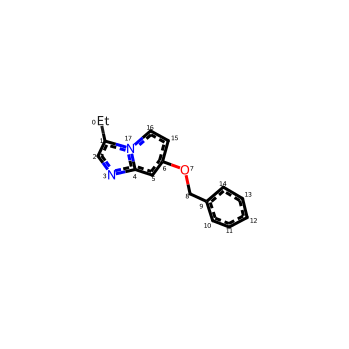 CCc1cnc2cc(OCc3ccccc3)ccn12